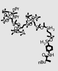 C=C(CCCC)C(=O)Nc1ccc([SiH2]O[Si](C)(C)CC[SiH2]C(C)O[Si](C)(C)CC[Si](O[Si](C)(C)C)(O[Si](C)(C)C)O[Si](C)(C)CC[Si](O[Si](C)(C)C)(O[Si](C)(C)C)O[Si](C)(C)CC[Si](O[Si](C)(C)C)(O[Si](C)(C)C)O[Si](C)(CCC)CCC)cc1